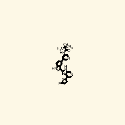 CC(C)(C)C(=O)Nc1cncc(-c2ccc3[nH]nc(-c4nc5c(C6CC=C(F)S6)cncc5[nH]4)c3c2)c1